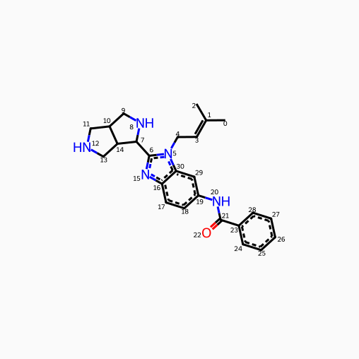 CC(C)=CCn1c(C2NCC3CNCC32)nc2ccc(NC(=O)c3ccccc3)cc21